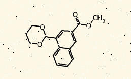 COC(=O)c1cc(C2OCCCO2)c2ccccc2c1